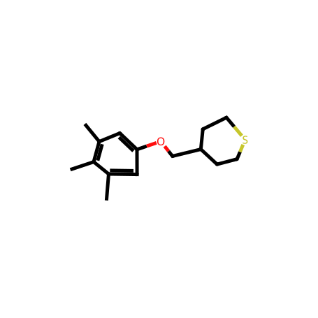 Cc1cc(OCC2CCSCC2)cc(C)c1C